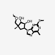 CSc1nc(C)c2ncn(C3C[C@](C)(COI)[C@@H](O)[C@H]3O)c2n1